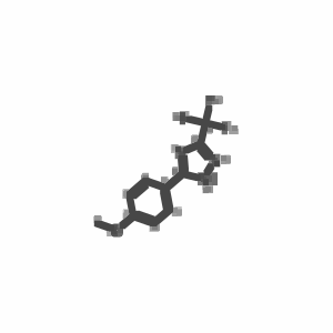 COc1ccc(-c2nc(C(F)(F)F)n[nH]2)cc1